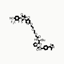 Cc1ncsc1-c1ccc(CNC(=O)[C@@H]2CCCN2C(=O)[C@@H](NC(=O)COCCOCCOc2cc(Cl)c(N3C(=S)N(c4ccc(C#N)c(C(F)(F)F)c4F)C(=O)C3(C)C)cn2)C(C)(C)C)cc1